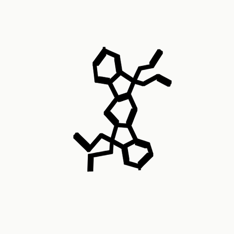 C=CCC1(CC=C)c2c[c]ccc2-c2cc3c(cc21)-c1cc[c]cc1C3(CC=C)CC=C